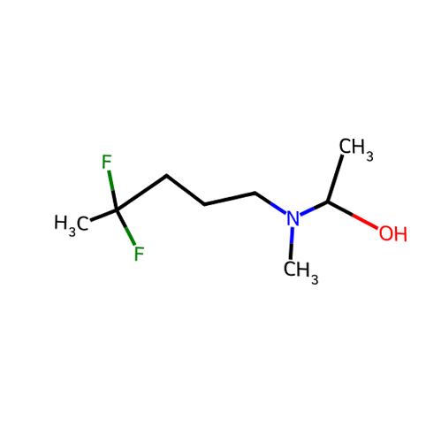 CC(O)N(C)CCCC(C)(F)F